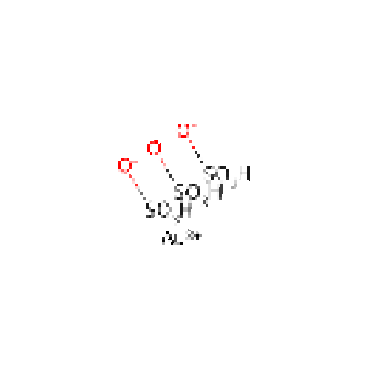 O=S(=O)([O-])O.O=S(=O)([O-])O.O=S(=O)([O-])O.[Au+3]